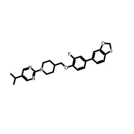 CC(C)c1cnc(N2CCC(COc3ccc(-c4ccc5c(c4)OCS5)cc3F)CC2)nc1